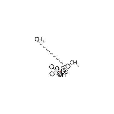 CCCCCCCCCCCCCCCCCCc1cc(C)ccc1S(=O)(=O)OC(CO)COC(c1ccccc1)(c1ccccc1)c1ccccc1